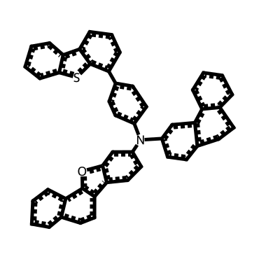 c1ccc2c(c1)ccc1ccc(N(c3ccc(-c4cccc5c4sc4ccccc45)cc3)c3ccc4c(c3)oc3c5ccccc5ccc43)cc12